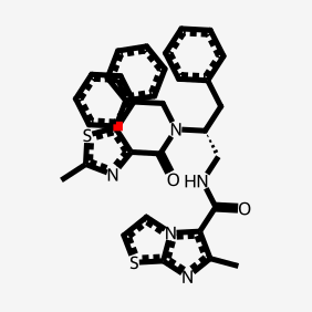 Cc1nc(C(=O)N(Cc2ccccc2)[C@@H](CNC(=O)c2c(C)nc3sccn23)Cc2ccccc2)c(-c2ccccc2)s1